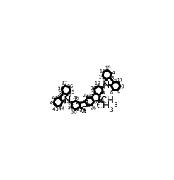 CC1(C)c2cc(-n3c4ccccc4c4ccccc43)ccc2-c2cc3c(cc21)sc1ccc(-n2c4ccccc4c4ccccc42)cc13